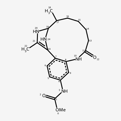 COC(=O)Nc1ccc2c(c1)NC(=O)CCCCC(C)C1NC(C)=C2N1